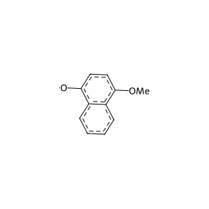 COc1ccc([O])c2ccccc12